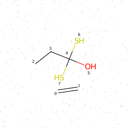 C=C.CCC(O)(S)S